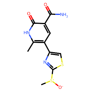 Cc1[nH]c(=O)c(C(N)=O)cc1-c1csc([S+](C)[O-])n1